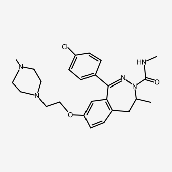 CNC(=O)N1N=C(c2ccc(Cl)cc2)c2cc(OCCN3CCN(C)CC3)ccc2CC1C